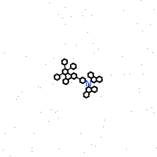 c1ccc(-c2cc(-c3ccccc3)c3c4ccccc4c4cc(-c5ccc(N(c6cc7ccccc7c7ccccc67)c6cc7ccccc7c7ccccc67)cc5)ccc4c3c2-c2ccccc2)cc1